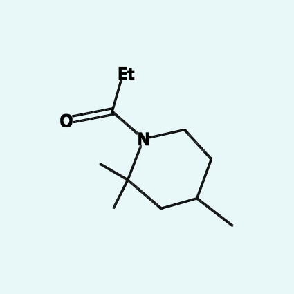 CCC(=O)N1CCC(C)CC1(C)C